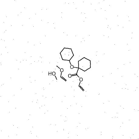 C=COC.C=COC(=O)C1(OC2CCCCC2)CCCCC1.CO